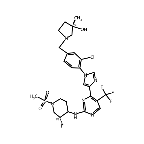 C[C@]1(O)CCN(Cc2ccc(-n3cnc(-c4nc(NC5CCN(S(C)(=O)=O)C[C@H]5F)ncc4C(F)(F)F)c3)c(Cl)c2)C1